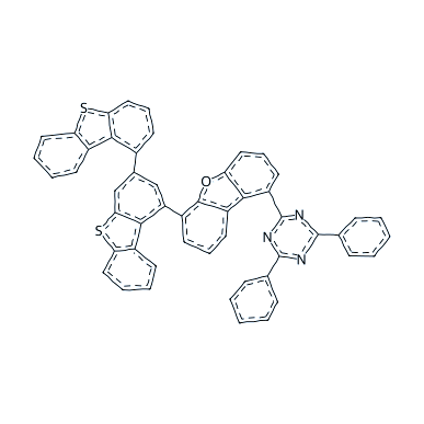 c1ccc(-c2nc(-c3ccccc3)nc(-c3cccc4oc5c(-c6cc(-c7cccc8sc9ccccc9c78)cc7sc8ccccc8c67)cccc5c34)n2)cc1